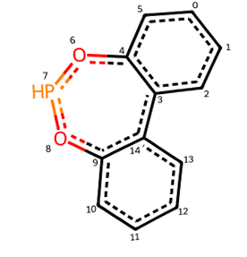 c1ccc2c(c1)o[pH]oc1ccccc12